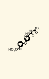 CC(C)(C)C(=O)NC(=O)Nc1ccc(Oc2ccnc(NC(=O)O)c2)cn1